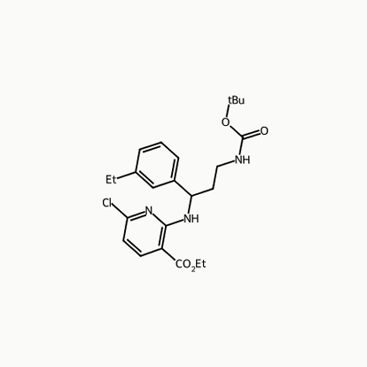 CCOC(=O)c1ccc(Cl)nc1NC(CCNC(=O)OC(C)(C)C)c1cccc(CC)c1